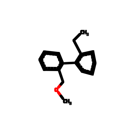 CCc1ccccc1-c1ccccc1COC